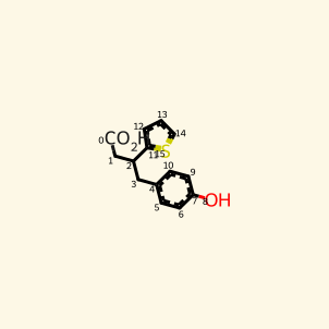 O=C(O)CC(Cc1ccc(O)cc1)c1cccs1